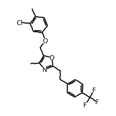 Cc1ccc(OCc2oc(CCc3ccc(C(F)(F)F)cc3)nc2C)cc1Cl